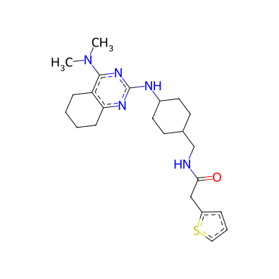 CN(C)c1nc(NC2CCC(CNC(=O)Cc3cccs3)CC2)nc2c1CCCC2